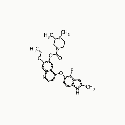 CCOc1cc2nccc(Oc3ccc4[nH]c(C)cc4c3F)c2cc1OC(=O)N1CCN(C)C(C)C1